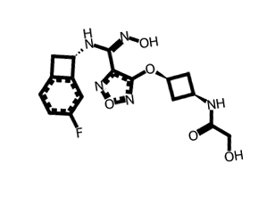 O=C(CO)N[C@H]1C[C@@H](Oc2nonc2/C(=N\O)N[C@H]2Cc3ccc(F)cc32)C1